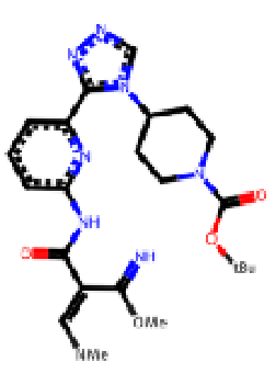 CN/C=C(\C(=N)OC)C(=O)Nc1cccc(-c2nncn2C2CCN(C(=O)OC(C)(C)C)CC2)n1